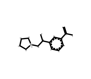 C=C(C)c1cccc(C(C)CN2CCCC2)c1